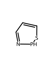 C1=CSPN=C1